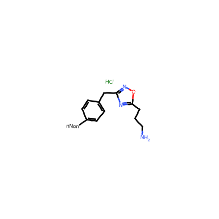 CCCCCCCCCc1ccc(Cc2noc(CCCN)n2)cc1.Cl